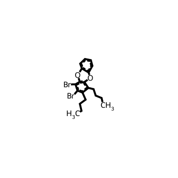 CCCCc1c(Br)c(Br)c2c(c1CCCC)Oc1ccccc1O2